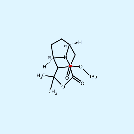 CC(C)(C)OC(=O)N1[C@H]2CC[C@@H]1C1N(C2)C(=O)OC1(C)C